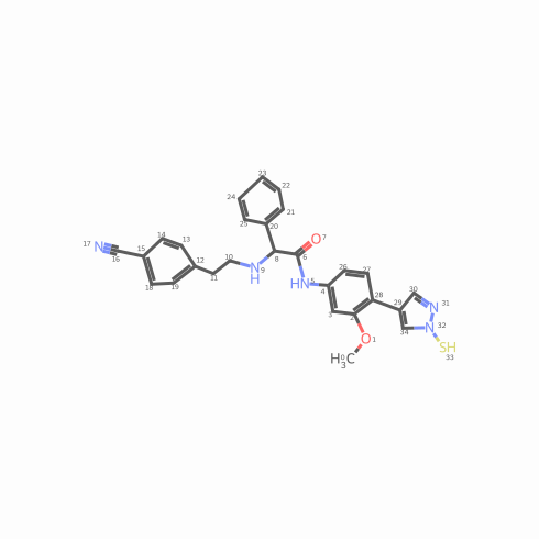 COc1cc(NC(=O)C(NCCc2ccc(C#N)cc2)c2ccccc2)ccc1-c1cnn(S)c1